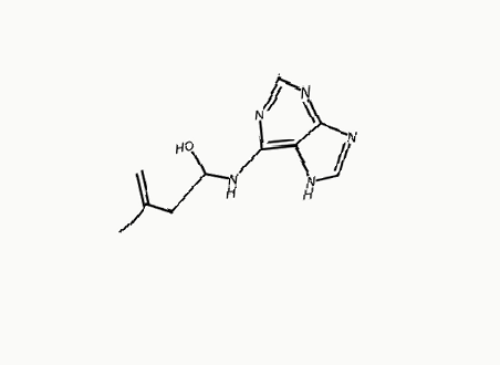 C=C(C)CC(O)Nc1n[c]nc2nc[nH]c12